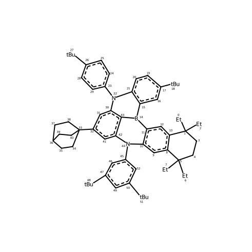 CCC1(CC)CCC(CC)(CC)c2cc3c(cc21)B1c2cc(C(C)(C)C)ccc2N(c2ccc(C(C)(C)C)cc2)c2cc(C45CCC(CC4)CC5)cc(c21)N3c1cc(C(C)(C)C)cc(C(C)(C)C)c1